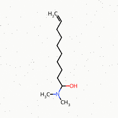 C=CCCCCCCCC(O)N(C)C